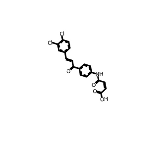 O=C(O)/C=C\C(=O)Nc1ccc(C(=O)/C=C/c2ccc(Cl)c(Cl)c2)cc1